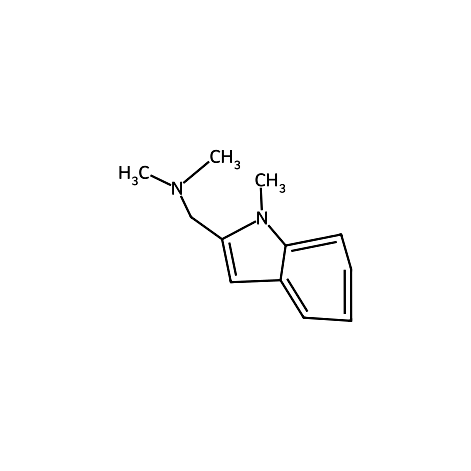 CN(C)Cc1cc2ccccc2n1C